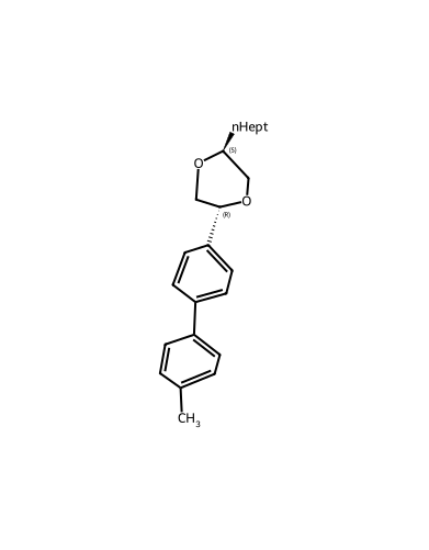 CCCCCCC[C@H]1CO[C@H](c2ccc(-c3ccc(C)cc3)cc2)CO1